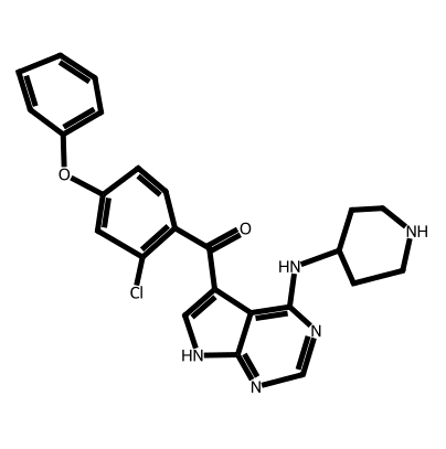 O=C(c1ccc(Oc2ccccc2)cc1Cl)c1c[nH]c2ncnc(NC3CCNCC3)c12